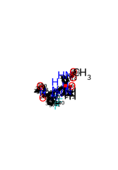 [2H]C([2H])([2H])n1c(=O)n([C@@H]2CC[C@@H](NC(=O)OC)C2)c2cc(Nc3cc(C(=O)N4CCOC5CC54)c4cccc(C(F)(F)F)c4n3)ncc21